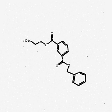 CCCCCCCCCCCCOC(=O)c1cccc(C(=O)OCc2ccccc2)c1